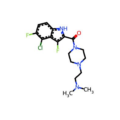 CN(C)CCN1CCN(C(=O)c2[nH]c3ccc(F)c(Cl)c3c2F)CC1